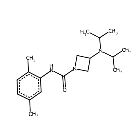 Cc1ccc(C)c(NC(=O)N2CC(N(C(C)C)C(C)C)C2)c1